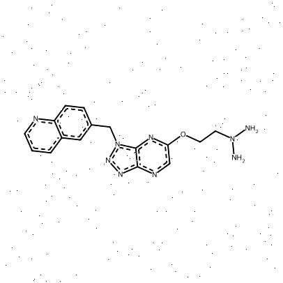 NN(N)CCOc1cnc2nnn(Cc3ccc4ncccc4c3)c2n1